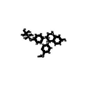 COc1ccc([C@H]2c3ccc(C)cc3OC[C@H]2c2ccc(O[Si](C)(C)C(C)(C)C)cc2)cc1